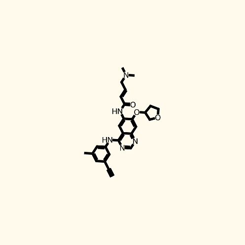 C#Cc1cc(C)cc(Nc2ncnc3cc(OC4CCOC4)c(NC(=O)C=CCN(C)C)cc23)c1